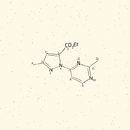 CCOC(=O)c1cc(C)nn1-c1ccnc(C)n1